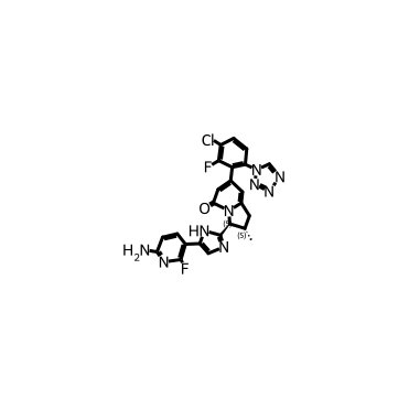 C[C@H]1Cc2cc(-c3c(-n4cnnn4)ccc(Cl)c3F)cc(=O)n2[C@@H]1c1ncc(-c2ccc(N)nc2F)[nH]1